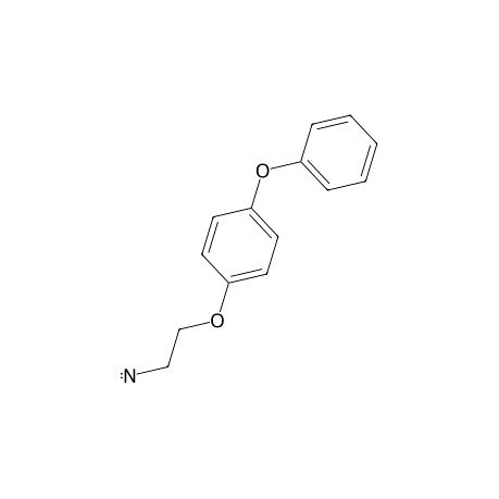 [N]CCOc1ccc(Oc2ccccc2)cc1